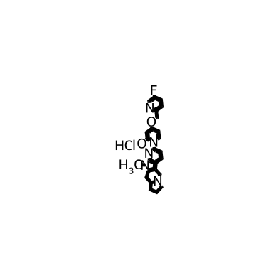 Cl.Cn1c2c(c3ccc(-n4ccc(OCc5ccc(F)cn5)cc4=O)nc31)CN1CCCC1C2